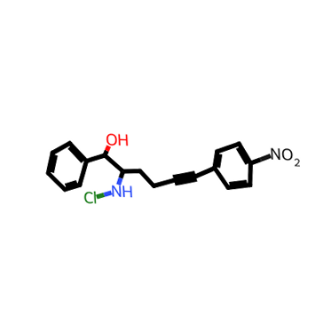 O=[N+]([O-])c1ccc(C#CCCC(NCl)C(O)c2ccccc2)cc1